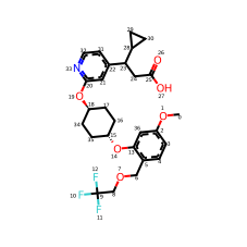 COc1ccc(COCC(F)(F)F)c(O[C@H]2CC[C@H](Oc3cc(C(CC(=O)O)C4CC4)ccn3)CC2)c1